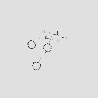 CN(C(=O)OC(C)(C)C)C(C)(C(=O)OCc1ccccc1)c1ccc(OCc2ccccc2)cc1